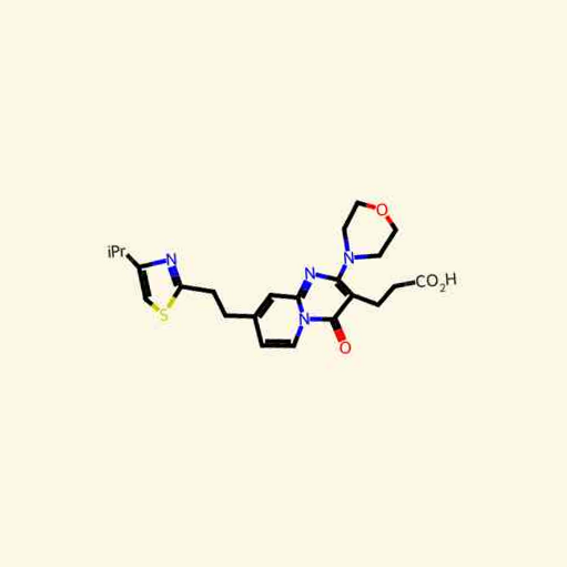 CC(C)c1csc(CCc2ccn3c(=O)c(CCC(=O)O)c(N4CCOCC4)nc3c2)n1